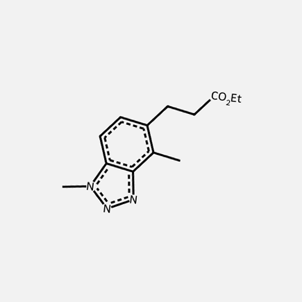 CCOC(=O)CCc1ccc2c(nnn2C)c1C